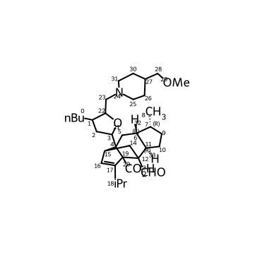 CCCCC1CC(C23C[C@@H]4[C@H](C)CC[C@H]4C4(C=O)CC2C=C(C(C)C)C34C(=O)O)OC1CN1CCC(COC)CC1